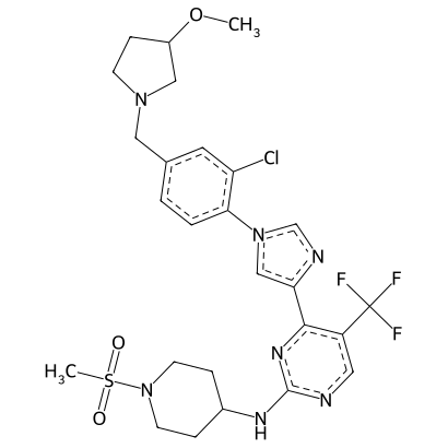 COC1CCN(Cc2ccc(-n3cnc(-c4nc(NC5CCN(S(C)(=O)=O)CC5)ncc4C(F)(F)F)c3)c(Cl)c2)C1